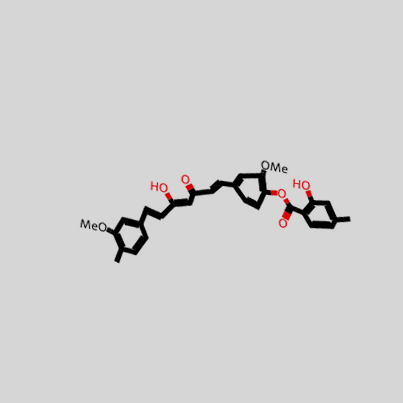 COc1cc(/C=C/C(O)=C/C(=O)/C=C/c2ccc(OC(=O)c3ccc(C)cc3O)c(OC)c2)ccc1C